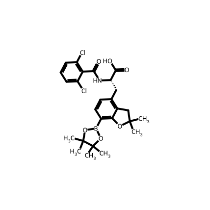 CC1(C)Cc2c(C[C@H](NC(=O)c3c(Cl)cccc3Cl)C(=O)O)ccc(B3OC(C)(C)C(C)(C)O3)c2O1